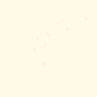 COCCNC(=O)c1ccc(-n2c(C)nc(OCc3ccc(F)cc3F)c(Br)c2=O)nc1